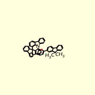 CC1(C)c2ccccc2-c2ccc(-c3ccc(-c4cccc5c4C4(c6ccccc6-5)c5ccccc5-n5c6ccccc6c6cccc4c65)cc3)cc21